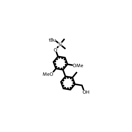 COc1cc(O[Si](C)(C)C(C)(C)C)cc(OC)c1-c1cccc(CO)c1C